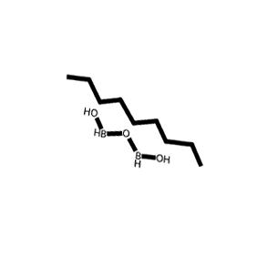 CCCCCCCCC.OBOBO